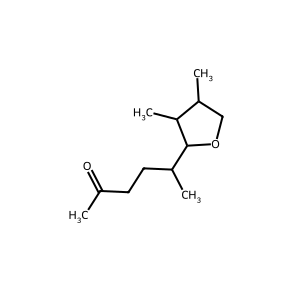 CC(=O)CCC(C)C1OCC(C)C1C